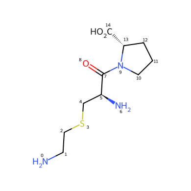 NCCSC[C@H](N)C(=O)N1CCC[C@H]1C(=O)O